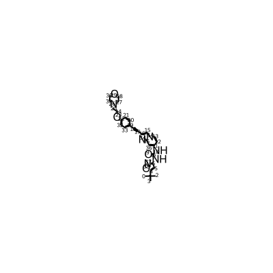 CC(C)(C)c1cc(NC(=O)Nc2ccn3cc(C#Cc4ccc(OCCN5CCOCC5)cc4)nc3c2)no1